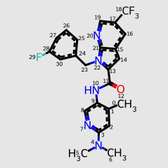 Cc1cc(N(C)C)ncc1NC(=O)c1cc2cc(C(F)(F)F)cnc2n1Cc1cccc(F)c1